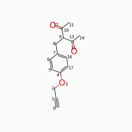 C#CCOc1ccc(CC(C(C)=O)C(C)=O)cc1